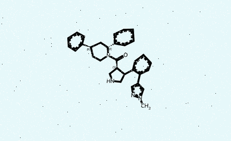 Cn1cc(-c2ccccc2C2CNC[C@H]2C(=O)N2CC[C@@H](c3ccccc3)C[C@@H]2c2ccccc2)cn1